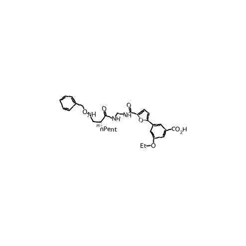 CCCCC[C@H](CNOCc1ccccc1)C(=O)NCNC(=O)c1ccc(-c2cc(OCC)cc(C(=O)O)c2)o1